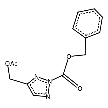 CC(=O)OCc1cnn(C(=O)OCc2ccccc2)n1